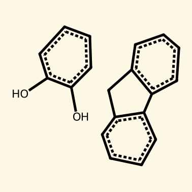 Oc1ccccc1O.c1ccc2c(c1)Cc1ccccc1-2